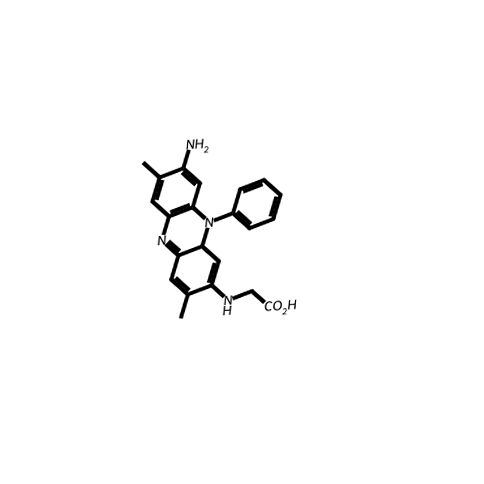 CC1=CC2=Nc3cc(C)c(N)cc3N(c3ccccc3)C2C=C1NCC(=O)O